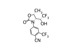 C[C@H]1OC(=O)N(c2ccc(C#N)c(C(F)(F)F)c2)[C@H]1[C@@H](O)C(F)(F)F